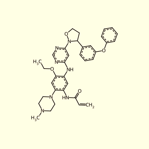 C=CC(=O)Nc1cc(Nc2cc(N3OCCC3c3cccc(Oc4ccccc4)c3)ncn2)c(OCC)cc1N1CCN(C)CC1